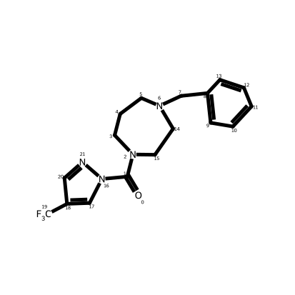 O=C(N1CCCN(Cc2ccccc2)CC1)n1cc(C(F)(F)F)cn1